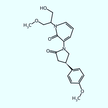 COCC(CO)n1cccc(N2C[C@@H](c3ccc(OC)cc3)CC2=O)c1=O